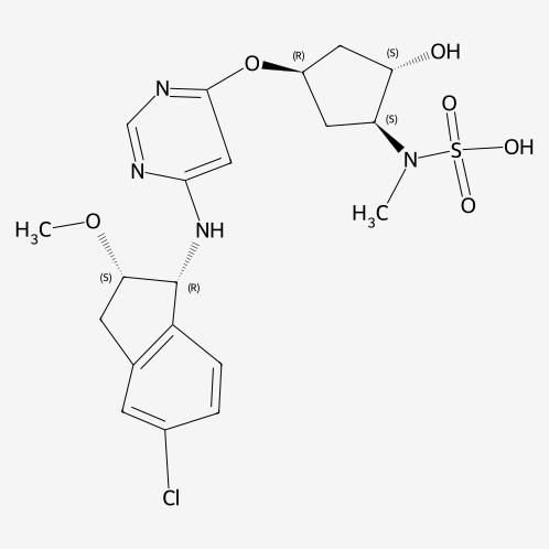 CO[C@H]1Cc2cc(Cl)ccc2[C@H]1Nc1cc(O[C@H]2C[C@H](O)[C@@H](N(C)S(=O)(=O)O)C2)ncn1